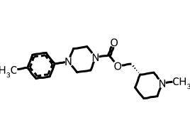 Cc1ccc(N2CCN(C(=O)OC[C@H]3CCCN(C)C3)CC2)cc1